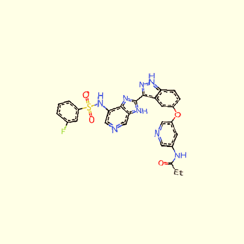 CCC(=O)Nc1cncc(Oc2ccc3[nH]nc(-c4nc5c(NS(=O)(=O)c6cccc(F)c6)cncc5[nH]4)c3c2)c1